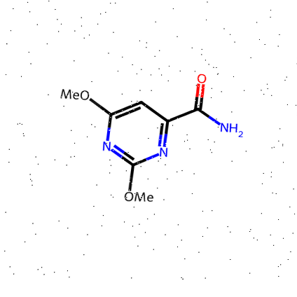 COc1cc(C(N)=O)nc(OC)n1